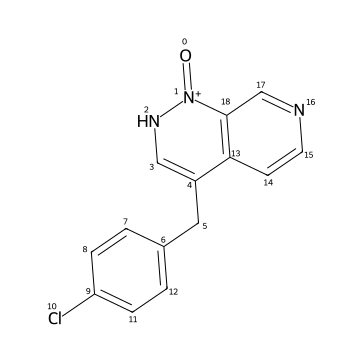 O=[n+]1[nH]cc(Cc2ccc(Cl)cc2)c2ccncc21